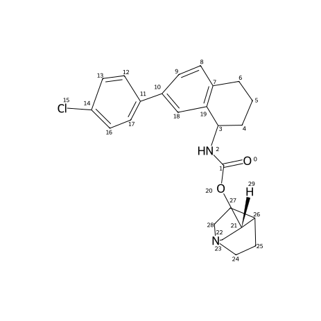 O=C(NC1CCCc2ccc(-c3ccc(Cl)cc3)cc21)O[C@H]1CN2CCC1CC2